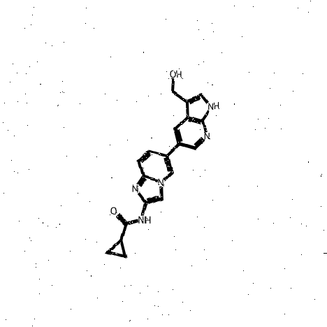 O=C(Nc1cn2cc(-c3cnc4[nH]cc(CO)c4c3)ccc2n1)C1CC1